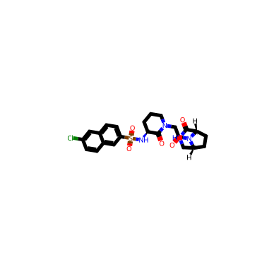 O=C1NC[C@H]2CC[C@@H]1N2C(=O)CN1CCC[C@H](NS(=O)(=O)c2ccc3cc(Cl)ccc3c2)C1=O